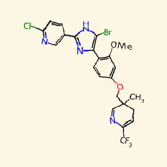 COc1cc(OCC2(C)C=NC(C(F)(F)F)=CC2)ccc1-c1nc(-c2ccc(Cl)nc2)[nH]c1Br